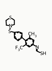 Cc1cc(/N=C/S)cc(C(F)(F)F)c1-c1ccc(SN2CCSCC2)cc1